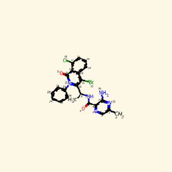 Cc1cnc(C(=O)N[C@@H](C)c2c(Br)c3cccc(Cl)c3c(=O)n2-c2ccccc2)c(N)n1